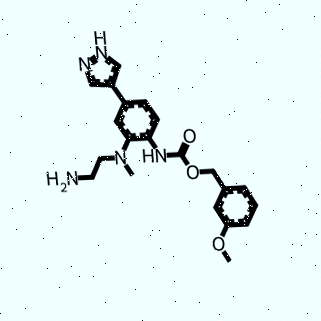 COc1cccc(COC(=O)Nc2ccc(-c3cn[nH]c3)cc2N(C)CCN)c1